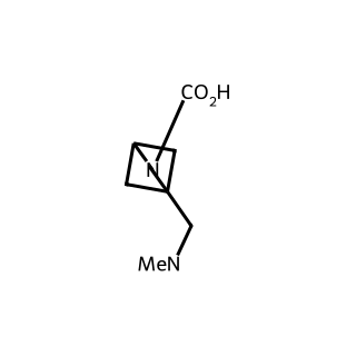 CNCC12CC(C1)N(C(=O)O)C2